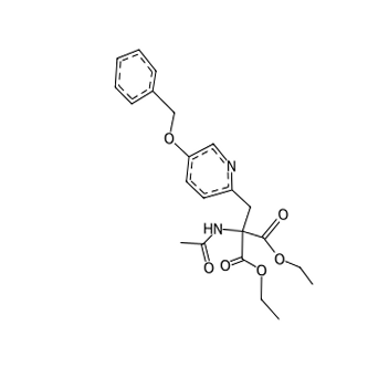 CCOC(=O)C(Cc1ccc(OCc2ccccc2)cn1)(NC(C)=O)C(=O)OCC